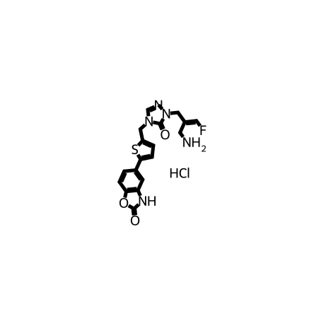 Cl.NC/C(=C\F)Cn1ncn(Cc2ccc(-c3ccc4oc(=O)[nH]c4c3)s2)c1=O